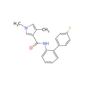 Cc1cn(C)cc1C(=O)Nc1ccccc1-c1ccc(F)cc1